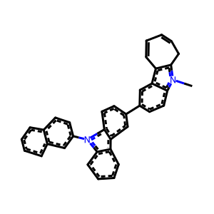 Cn1c2c(c3cc(-c4ccc5c(c4)c4ccccc4n5-c4ccc5ccccc5c4)ccc31)C=CC=CC2